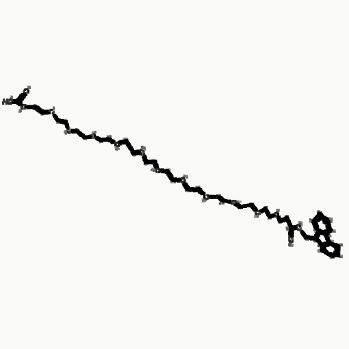 O=C(O)OCCOCCOCCOCCOCCOCCOCCOCCOCCOCCOCCOCCC(=O)OCC1c2ccccc2-c2ccccc21